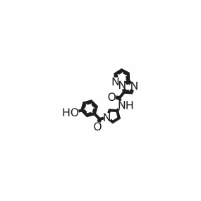 O=C(NC1CCN(C(=O)c2cccc(O)c2)C1)c1cnc2cccnn12